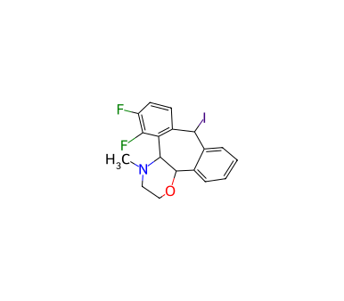 CN1CCOC2c3ccccc3C(I)c3ccc(F)c(F)c3C21